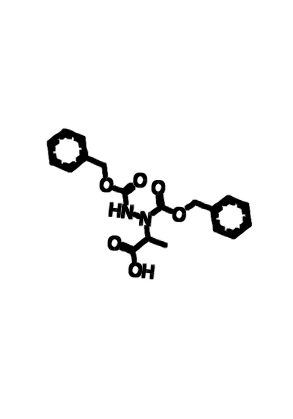 CC(C(=O)O)N(NC(=O)OCc1ccccc1)C(=O)OCc1ccccc1